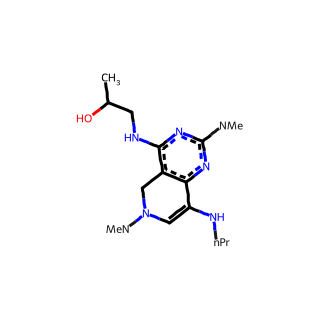 CCCNC1=CN(NC)Cc2c(NCC(C)O)nc(NC)nc21